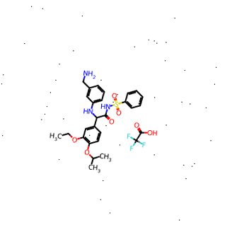 CCOc1cc(C(Nc2cccc(CN)c2)C(=O)NS(=O)(=O)c2ccccc2)ccc1OC(C)C.O=C(O)C(F)(F)F